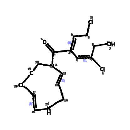 O=C(C(/C=C(/Cl)CO)=C/CCl)N1/C=C/CN/C=C/OCC1